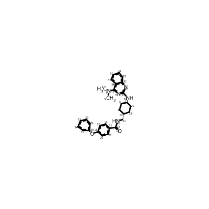 CN(C)c1nc(N[C@H]2CC[C@@H](CNC(=O)c3ccc(Oc4ccccc4)cc3)CC2)nc2ccccc12